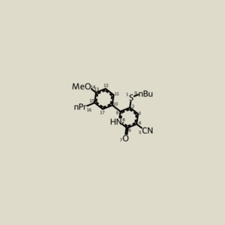 CCCCSc1cc(C#N)c(=O)[nH]c1-c1ccc(OC)c(CCC)c1